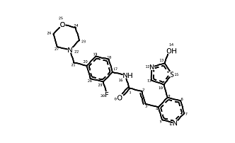 O=C(/C=C/c1cnccc1-c1cnc(O)s1)Nc1ccc(CN2CCOCC2)cc1F